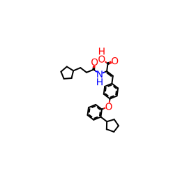 O=C(CCC1CCCC1)N/C(=C\c1ccc(Oc2ccccc2C2CCCC2)cc1)C(=O)O